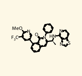 COc1ncc(-c2cccc3cc([C@H](C)Nc4nccc5scnc45)n(-c4ccccc4)c(=O)c23)cc1C(F)(F)F